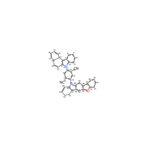 N#Cc1cc(-n2c3c(c4ccccc42)C2C=CC=CC2C=C3)c(C#N)cc1-n1c2c(c3cc4oc5ccccc5c4cc31)CCC=C2